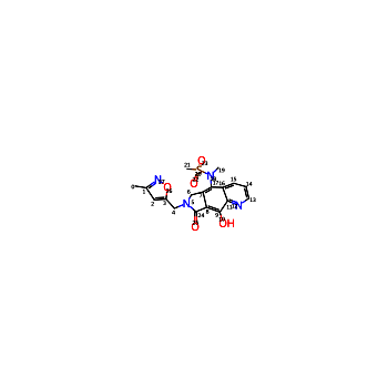 Cc1cc(CN2Cc3c(c(O)c4ncccc4c3N(C)S(C)(=O)=O)C2=O)on1